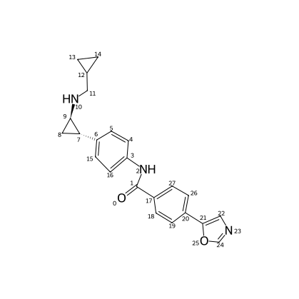 O=C(Nc1ccc([C@@H]2C[C@H]2NCC2CC2)cc1)c1ccc(-c2cnco2)cc1